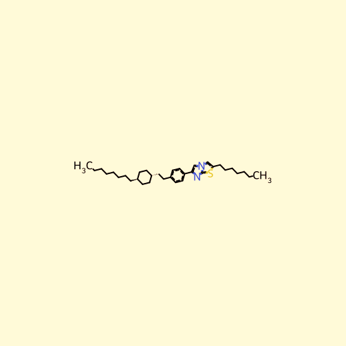 CCCCCCCC[C@H]1CC[C@H](CCc2ccc(-c3cn4cc(CCCCCCC)sc4n3)cc2)CC1